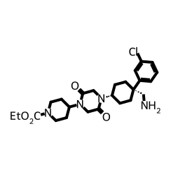 CCOC(=O)N1CCC(N2CC(=O)N([C@H]3CC[C@](CN)(c4cccc(Cl)c4)CC3)CC2=O)CC1